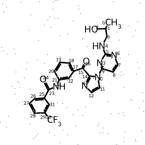 CC(O)CNc1nccc(-n2ccnc2C(=O)c2cccc(NC(=O)c3cccc(C(F)(F)F)c3)c2)n1